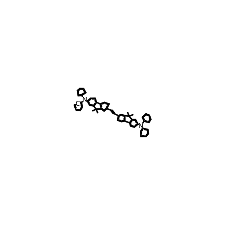 CC1(C)c2cc(C#Cc3ccc4c(c3)C(C)(C)c3cc(N(c5ccccc5)c5ccccc5)ccc3-4)ccc2-c2ccc(N(c3ccccc3)c3ccccc3)cc21